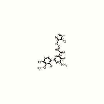 COc1c(Cl)ccc(-c2cc(N)c(Cl)c(C(=O)NOCc3nnsc3Cl)n2)c1F